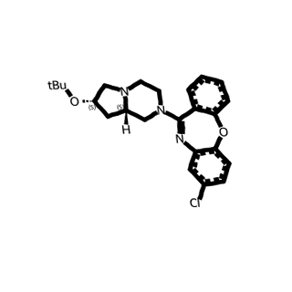 CC(C)(C)O[C@H]1C[C@H]2CN(C3=Nc4cc(Cl)ccc4Oc4ccccc43)CCN2C1